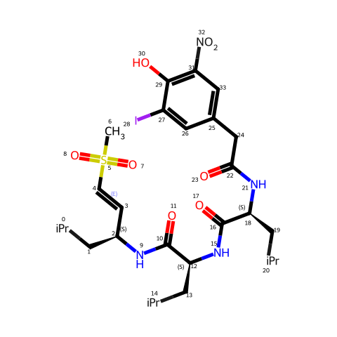 CC(C)C[C@@H](/C=C/S(C)(=O)=O)NC(=O)[C@H](CC(C)C)NC(=O)[C@H](CC(C)C)NC(=O)Cc1cc(I)c(O)c([N+](=O)[O-])c1